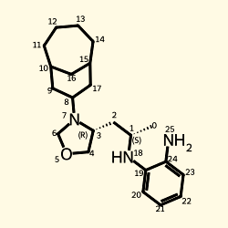 C[C@@H](C[C@@H]1COCN1C1CC2CCCCC(C2)C1)Nc1ccccc1N